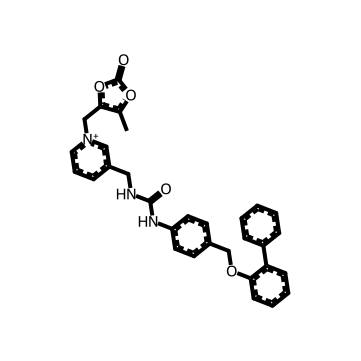 Cc1oc(=O)oc1C[n+]1cccc(CNC(=O)Nc2ccc(COc3ccccc3-c3ccccc3)cc2)c1